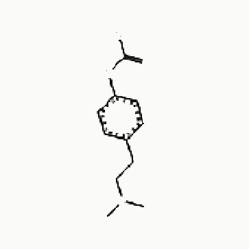 CN(C)CCc1ccc(NC(N)=O)cc1